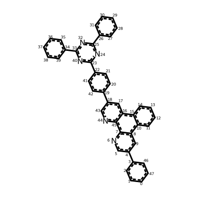 c1ccc(-c2cnc3c(c2)c2ccccc2c2cc(-c4ccc(-c5nc(-c6ccccc6)nc(-c6ccccc6)n5)cc4)cnc23)cc1